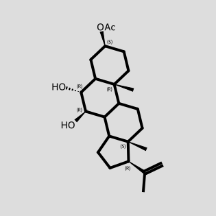 C=C(C)[C@H]1CCC2C3C(CC[C@@]21C)[C@@]1(C)CC[C@H](OC(C)=O)CC1[C@@H](O)[C@@H]3O